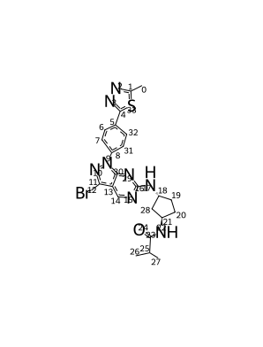 Cc1nnc(-c2ccc(-n3nc(Br)c4cnc(N[C@@H]5CC[C@@H](NC(=O)C(C)C)C5)nc43)cc2)s1